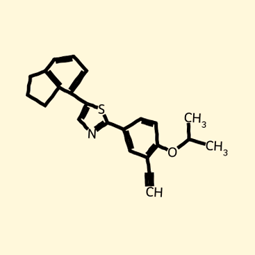 C#Cc1cc(-c2ncc(-c3cccc4c3CCC4)s2)ccc1OC(C)C